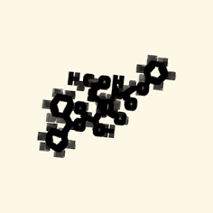 CC(=O)S[C@H]1[C@@H](NC(=O)COc2ccccc2)C(=O)N1C(O)C(=O)OC(c1ccccc1)c1ccccc1